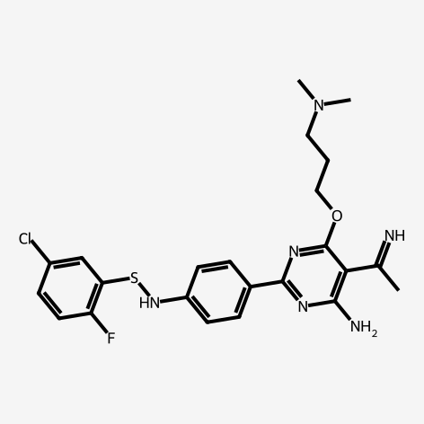 CC(=N)c1c(N)nc(-c2ccc(NSc3cc(Cl)ccc3F)cc2)nc1OCCCN(C)C